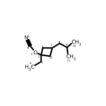 CCC1(OC#N)CC(CC(C)C)C1